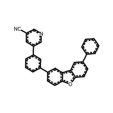 N#Cc1cncc(-c2cccc(-c3ccc4oc5ccc(-c6ccccc6)cc5c4c3)c2)c1